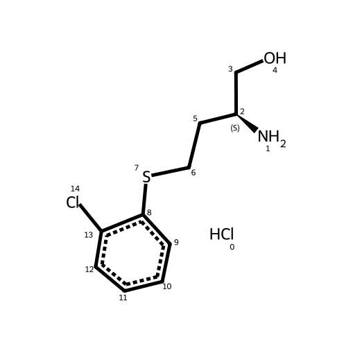 Cl.N[C@H](CO)CCSc1ccccc1Cl